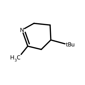 CC1=NCCC(C(C)(C)C)C1